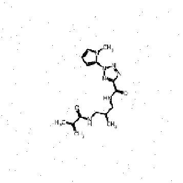 C=C(C)C(=O)NCC(C)CNC(=O)c1nnn(-c2cccn2C)n1